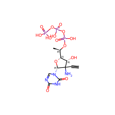 C#CC1(N)[C@@H](O)[C@@H]([C@@H](C)OP(=O)(O)OP(=O)(O)OP(=O)(O)O)O[C@H]1n1cnc(=O)[nH]c1=O